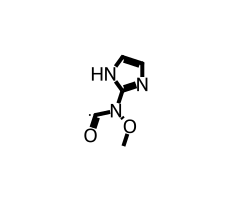 CON([C]=O)c1ncc[nH]1